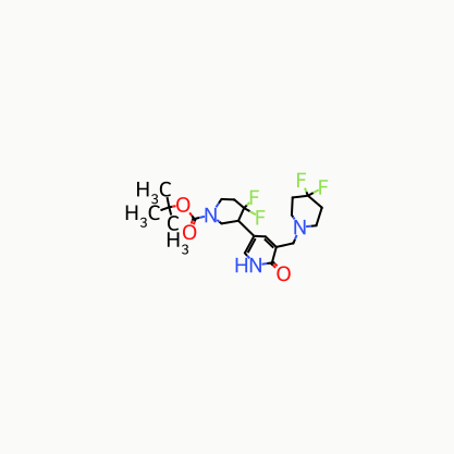 CC(C)(C)OC(=O)N1CCC(F)(F)C(c2c[nH]c(=O)c(CN3CCC(F)(F)CC3)c2)C1